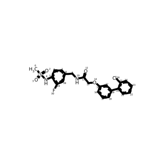 CS(=O)(=O)Nc1ccc(CNC(=O)COc2cccc(-c3ccccc3Cl)c2)cc1F